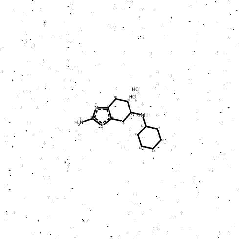 Cl.Cl.Nc1nc2c(s1)CC(NC1CCCCC1)CC2